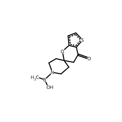 CB(O)N1CCC2(CC1)CC(=O)c1sccc1O2